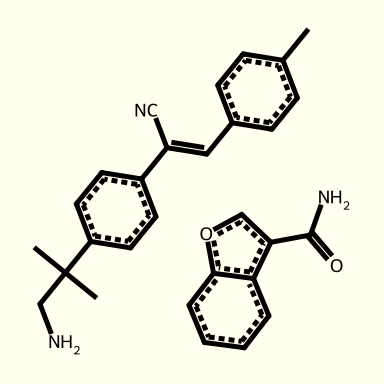 Cc1ccc(/C=C(\C#N)c2ccc(C(C)(C)CN)cc2)cc1.NC(=O)c1coc2ccccc12